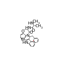 CNC(C)C(=O)NC1COc2ccccc2N(C(Cc2ccccc2)c2c(Cl)[nH]c3ccccc23)C1=O